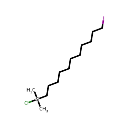 C[Si](C)(Cl)CCCCCCCCCCCI